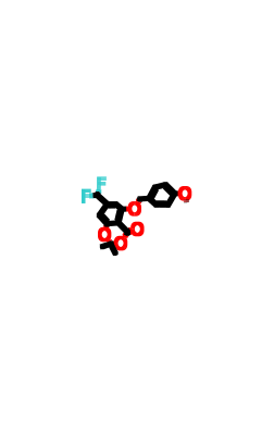 COc1ccc(COc2cc(C(F)F)cc3c2C(=O)OC(C)(C)O3)cc1